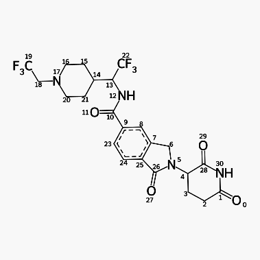 O=C1CCC(N2Cc3cc(C(=O)NC(C4CCN(CC(F)(F)F)CC4)C(F)(F)F)ccc3C2=O)C(=O)N1